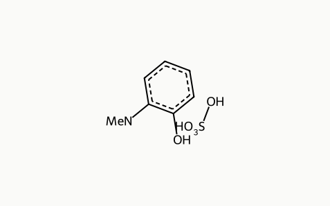 CNc1ccccc1O.O=S(=O)(O)O